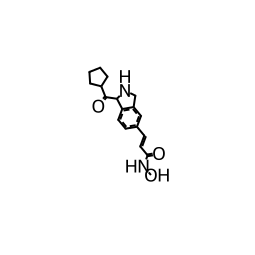 O=C(C=Cc1ccc2c(c1)CNC2C(=O)C1CCCC1)NO